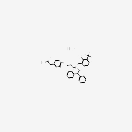 Cl.O=C(O)Cc1ccc(OCCCN(Cc2cccc(C(F)(F)F)c2Cl)CC(c2ccccc2)c2ccccc2)c(Cl)c1